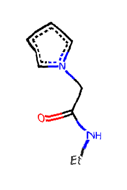 CCNC(=O)Cn1cccc1